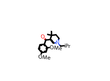 COc1ccc(C(=O)C2=CN(CC(C)C)CCC2(C)C)c(OC)c1